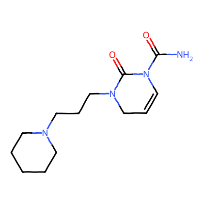 NC(=O)N1C=CCN(CCCN2CCCCC2)C1=O